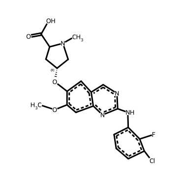 COc1cc2nc(Nc3cccc(Cl)c3F)ncc2cc1O[C@@H]1CC(C(=O)O)N(C)C1